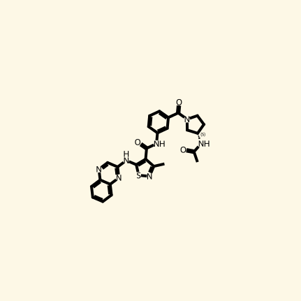 CC(=O)N[C@H]1CCN(C(=O)c2cccc(NC(=O)c3c(C)nsc3Nc3cnc4ccccc4n3)c2)C1